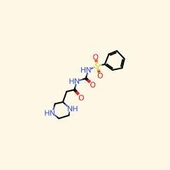 O=C(CC1CNCCN1)NC(=O)NS(=O)(=O)c1ccccc1